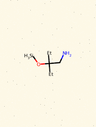 CCC(CC)(CN)O[SiH3]